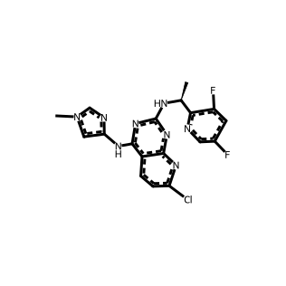 C[C@H](Nc1nc(Nc2cn(C)cn2)c2ccc(Cl)nc2n1)c1ncc(F)cc1F